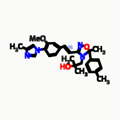 COc1cc(/C=C/C2=NOC(C)(c3ccc(C)cc3)N2CC(C)(C)O)ccc1-n1cnc(C)c1